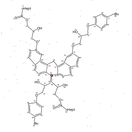 CCCCCCCC(=O)OCC(O)COc1ccc2ccc(OCC(O)COC(=O)CCCCCCC)c(Cc3c(OCC(O)COc4ccc(C(C)CC)cc4)ccc4ccc(OCC(O)COc5ccc(C(C)CC)cc5)cc34)c2c1